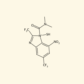 CN(C)C(=O)[N+]1(S)C(C(F)(F)F)=Nc2cc(C(F)(F)F)cc([N+](=O)[O-])c21